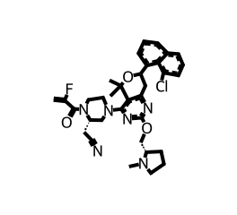 C=C(F)C(=O)N1CCN(c2nc(OC[C@@H]3CCCN3C)nc3c2C(C)(C)OC(c2cccc4cccc(Cl)c24)C3)C[C@@H]1CC#N